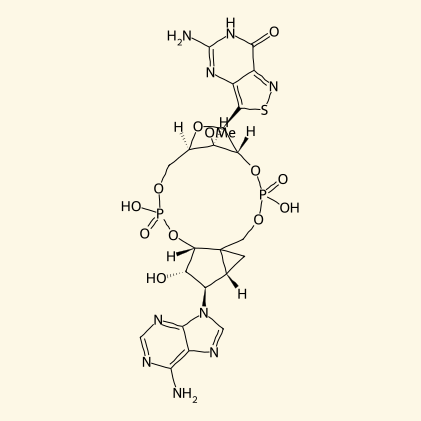 CO[C@H]1[C@H]2OP(=O)(O)OCC34C[C@@H]3[C@@H](n3cnc5c(N)ncnc53)[C@H](O)[C@@H]4OP(=O)(O)OC[C@H]1O[C@H]2c1snc2c(=O)[nH]c(N)nc12